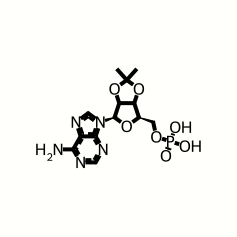 CC1(C)OC2C(O1)[C@@H](COP(=O)(O)O)O[C@H]2n1cnc2c(N)ncnc21